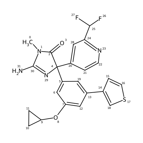 CN1C(=O)C(c2cc(OC3CC3)cc(-c3ccsc3)c2)(c2ccnc(C(F)F)c2)N=C1N